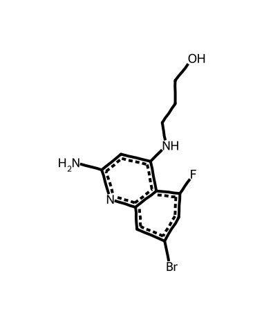 Nc1cc(NCCCO)c2c(F)cc(Br)cc2n1